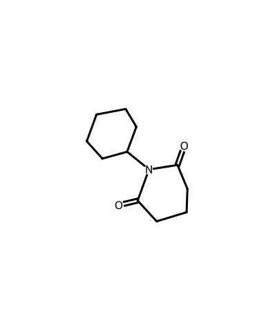 O=C1CCCC(=O)N1C1CCCCC1